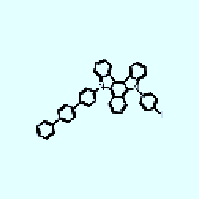 Ic1ccc(-n2c3ccccc3c3c4c5ccccc5n(-c5ccc(-c6ccc(-c7ccccc7)cc6)cc5)c4c4ccccc4c32)cc1